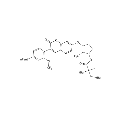 CCCCCc1ccc(-c2cc3ccc(OC4CCC(OC(=O)C(C)(CC(C)(C)C)C(C)(C)C)C4C(F)(F)F)cc3oc2=O)c(OC(F)(F)F)c1